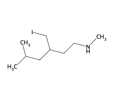 CNCCC(CI)CC(C)C